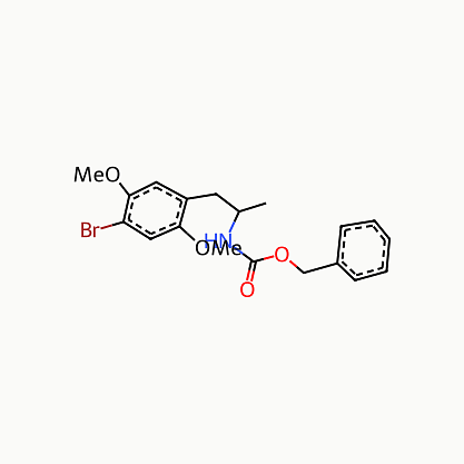 COc1cc(CC(C)NC(=O)OCc2ccccc2)c(OC)cc1Br